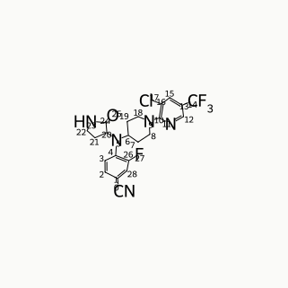 N#Cc1ccc(N(C2CCN(c3ncc(C(F)(F)F)cc3Cl)CC2)C2CCNC2=O)c(F)c1